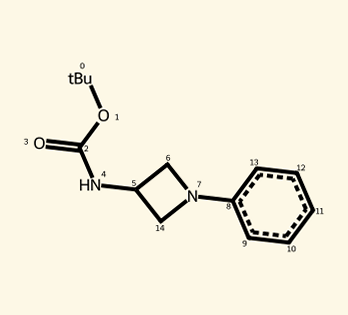 CC(C)(C)OC(=O)NC1CN(c2ccccc2)C1